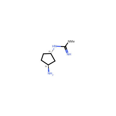 CNC(=N)N[C@H]1CC[C@H](N)C1